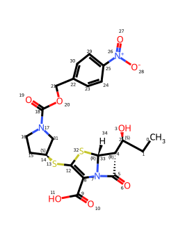 CC[C@H](O)[C@@H]1C(=O)N2C(C(=O)O)=C(S[C@H]3CCN(C(=O)OCc4ccc([N+](=O)[O-])cc4)C3)S[C@H]12